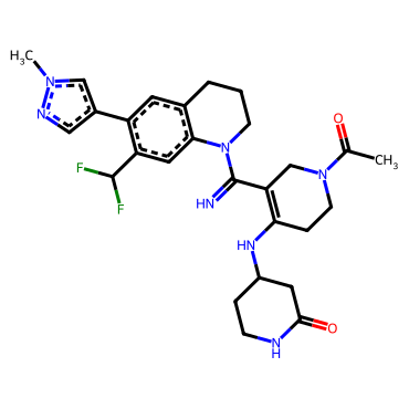 CC(=O)N1CCC(NC2CCNC(=O)C2)=C(C(=N)N2CCCc3cc(-c4cnn(C)c4)c(C(F)F)cc32)C1